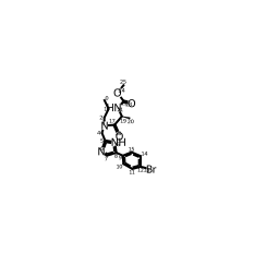 CCCN(Cc1ncc(-c2ccc(Br)cc2)[nH]1)C(=O)[C@H](C)NC(=O)OC